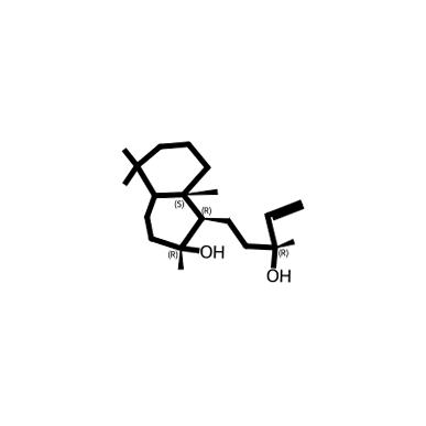 C=C[C@](C)(O)CC[C@@H]1[C@@]2(C)CCCC(C)(C)C2CC[C@@]1(C)O